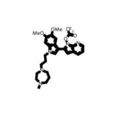 COc1cc2c(-c3cc4cccnc4n3OC(=O)C(F)(F)F)cn(CCCN3CCCN(C)CC3)c2cc1OC